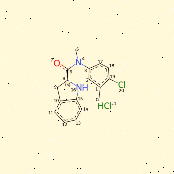 Cc1cc(N(C)C(=O)[C@@H]2Cc3ccccc3N2)ccc1Cl.Cl